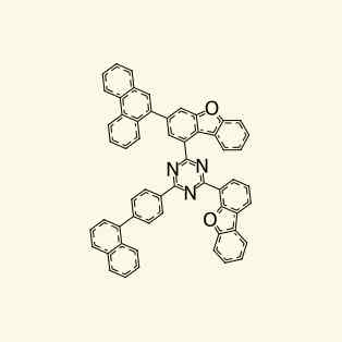 c1ccc2c(-c3ccc(-c4nc(-c5cccc6c5oc5ccccc56)nc(-c5cc(-c6cc7ccccc7c7ccccc67)cc6oc7ccccc7c56)n4)cc3)cccc2c1